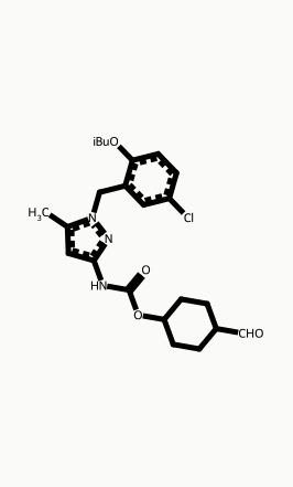 Cc1cc(NC(=O)OC2CCC(C=O)CC2)nn1Cc1cc(Cl)ccc1OCC(C)C